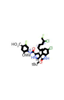 C=C(/C=C\C=C(\Cl)CF)[C@H]1[C@H](C(=O)Nc2cc(F)c(C(=O)O)cc2OC)N[C@@H](CC(C)(C)C)[C@@]12C(=O)Nc1cc(Cl)ccc12